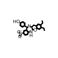 CCc1ccc(CC2N=C(c3ccc(O)cc3)c3cc([N+](=O)[O-])ccc3NC2=O)cc1CC